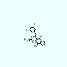 NC(=O)OC(Cc1cc(F)cc(F)c1)c1nc(Br)c2c(c1Br)CCC2